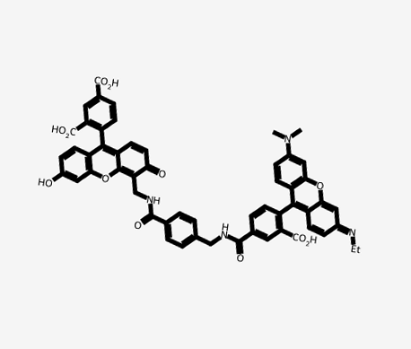 CC/N=c1\ccc2c(-c3ccc(C(=O)NCc4ccc(C(=O)NCc5c6oc7cc(O)ccc7c(-c7ccc(C(=O)O)cc7C(=O)O)c-6ccc5=O)cc4)cc3C(=O)O)c3ccc(N(C)C)cc3oc-2c1